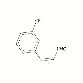 O=C/C=C\c1cccc(C(F)(F)F)c1